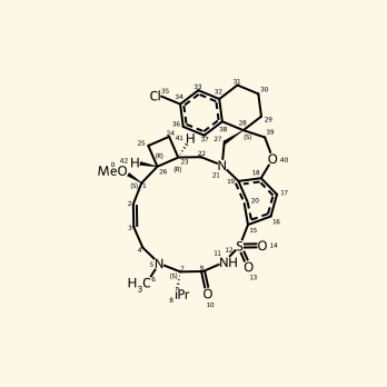 CO[C@@H]1C=CCN(C)[C@@H](C(C)C)C(=O)NS(=O)(=O)c2ccc3c(c2)N(C[C@@H]2CC[C@H]21)C[C@@]1(CCCc2cc(Cl)ccc21)CO3